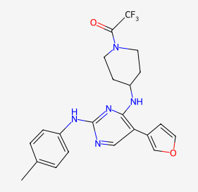 Cc1ccc(Nc2ncc(-c3ccoc3)c(NC3CCN(C(=O)C(F)(F)F)CC3)n2)cc1